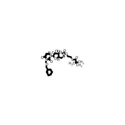 CC(C)(C)C(=O)SCCOP1(=O)OC[C@H]2O[C@@H](n3ccc(=O)n(COCc4ccccc4)c3=O)[C@](C)(Cl)[C@@H]2O1